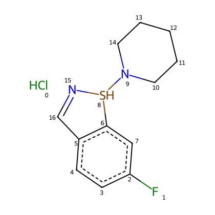 Cl.Fc1ccc2c(c1)[SH](N1CCCCC1)N=C2